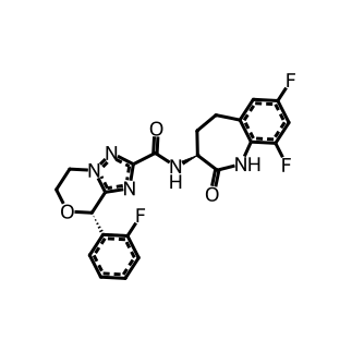 O=C(N[C@H]1CCc2cc(F)cc(F)c2NC1=O)c1nc2n(n1)CCO[C@H]2c1ccccc1F